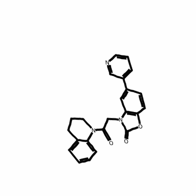 O=C(Cn1c(=O)oc2ccc(-c3cccnc3)cc21)N1CCCc2ccccc21